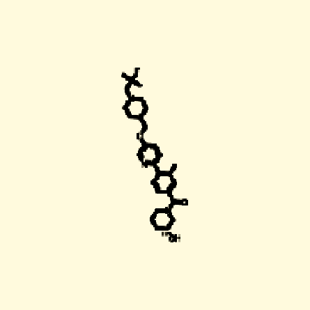 CC1C=C(C(=O)N2CCC[C@@H](O)C2)C=CC1c1ccc(OCC2CCN(CC(C)(C)F)CC2)cn1